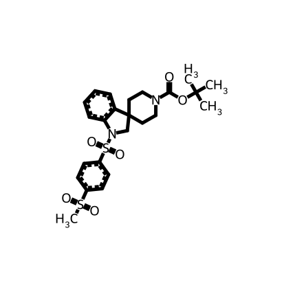 CC(C)(C)OC(=O)N1CCC2(CC1)CN(S(=O)(=O)c1ccc(S(C)(=O)=O)cc1)c1ccccc12